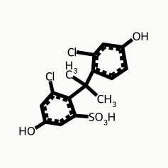 CC(C)(c1ccc(O)cc1Cl)c1c(Cl)cc(O)cc1S(=O)(=O)O